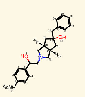 CC(=O)Nc1ccc(C(O)CN2C[C@@H]3C[C@](O)(Cc4ccccc4)C[C@@H]3C2)cc1